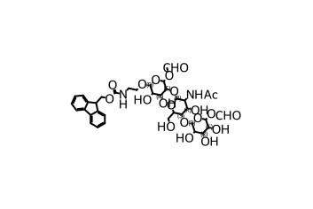 CC(=O)NC1[C@@H](O[C@@H]2C(OC=O)O[C@@H](OCCNC(=O)OCC3c4ccccc4-c4ccccc43)C(O)[C@H]2O)OC(CO)[C@@H](O[C@@H]2OC(OC=O)[C@@H](O)[C@H](O)C2O)[C@@H]1O